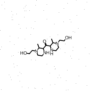 CC1C(C(=O)C2NCCN(CCO)C2C)NCCN1CCO